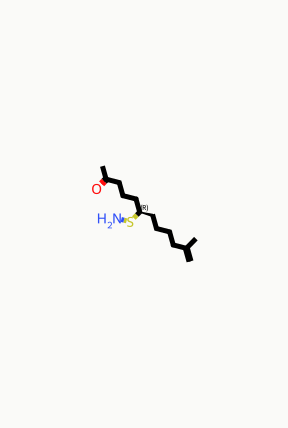 C=C(C)CCCC[C@H](CCCC(C)=O)SN